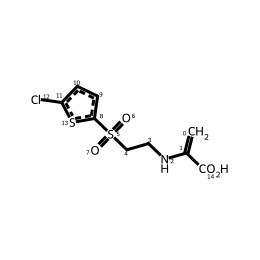 C=C(NCCS(=O)(=O)c1ccc(Cl)s1)C(=O)O